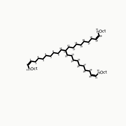 CCCCCCCC/C=C\CCCCCCCCC(CCCCCCC/C=C\CCCCCCCC)CCCCCCCC/C=C\CCCCCCCC